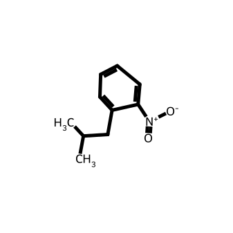 CC(C)Cc1ccccc1[N+](=O)[O-]